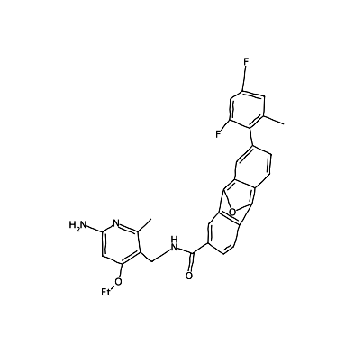 CCOc1cc(N)nc(C)c1CNC(=O)c1ccc2c(c1)c1oc2c2ccc(-c3c(C)cc(F)cc3F)cc21